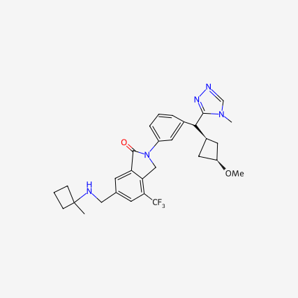 CO[C@H]1C[C@@H](C(c2cccc(N3Cc4c(cc(CNC5(C)CCC5)cc4C(F)(F)F)C3=O)c2)c2nncn2C)C1